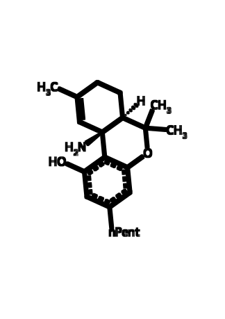 CCCCCc1cc(O)c2c(c1)OC(C)(C)[C@@H]1CCC(C)=C[C@@]21N